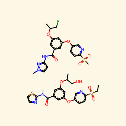 CC(CF)Oc1cc(Oc2ccc(S(C)(=O)=O)nc2)cc(C(=O)Nc2ccn(C)n2)c1.CCS(=O)(=O)c1ccc(Oc2cc(OC(C)CO)cc(C(=O)Nc3nccs3)c2)cn1